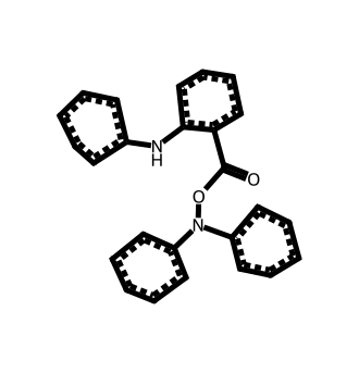 O=C(ON(c1ccccc1)c1ccccc1)c1ccccc1Nc1ccccc1